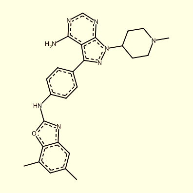 Cc1cc(C)c2oc(Nc3ccc(-c4nn(C5CCN(C)CC5)c5ncnc(N)c45)cc3)nc2c1